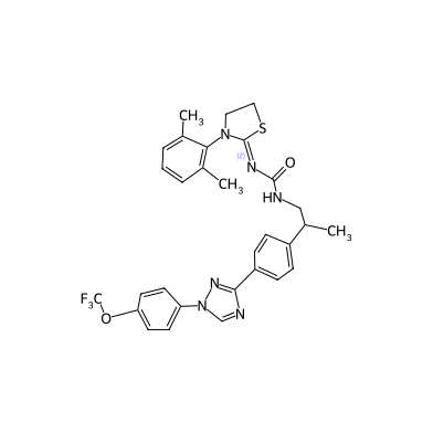 Cc1cccc(C)c1N1CCS/C1=N\C(=O)NCC(C)c1ccc(-c2ncn(-c3ccc(OC(F)(F)F)cc3)n2)cc1